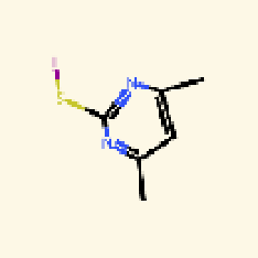 Cc1cc(C)nc(SI)n1